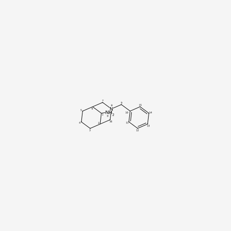 NC1C2CCCC1CN(Cc1ccccc1)C2